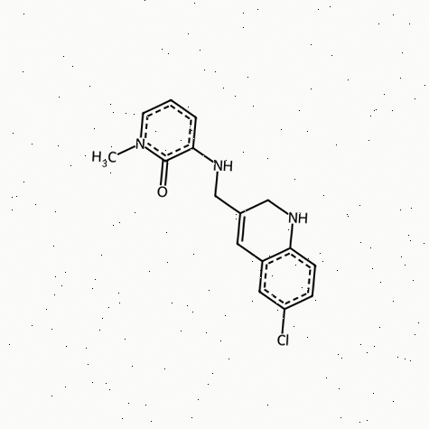 Cn1cccc(NCC2=Cc3cc(Cl)ccc3NC2)c1=O